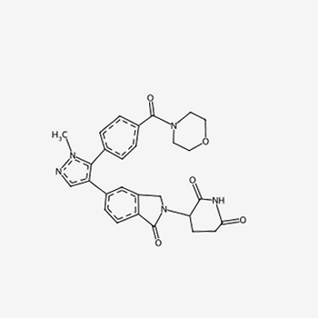 Cn1ncc(-c2ccc3c(c2)CN(C2CCC(=O)NC2=O)C3=O)c1-c1ccc(C(=O)N2CCOCC2)cc1